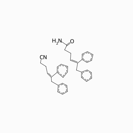 N#CCCC=C(Cc1ccccc1)c1ccccc1.NC(=O)CCC=C(Cc1ccccc1)c1ccccc1